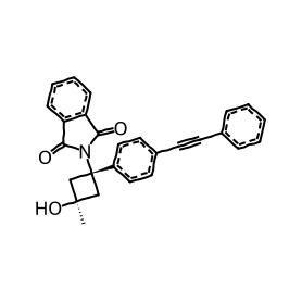 C[C@]1(O)C[C@](c2ccc(C#Cc3ccccc3)cc2)(N2C(=O)c3ccccc3C2=O)C1